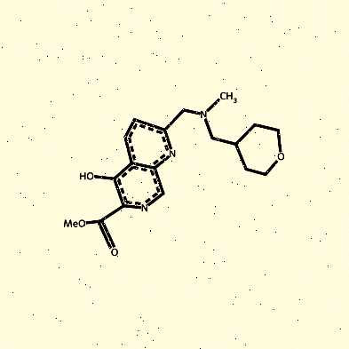 COC(=O)c1ncc2nc(CN(C)CC3CCOCC3)ccc2c1O